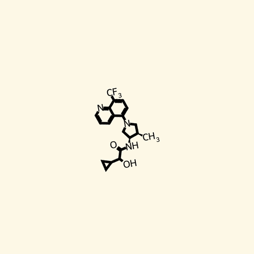 C[C@@H]1CN(c2ccc(C(F)(F)F)c3ncccc23)C[C@@H]1NC(=O)C(O)C1CC1